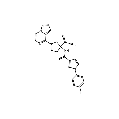 NC(=O)C1(NC(=O)c2ccn(-c3ccc(F)cc3)n2)CCN(c2nccn3cccc23)C1